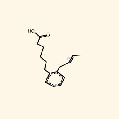 C/C=C/Cc1ccccc1CCCCCC(=O)O